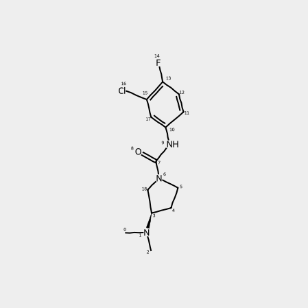 CN(C)[C@@H]1CCN(C(=O)Nc2ccc(F)c(Cl)c2)C1